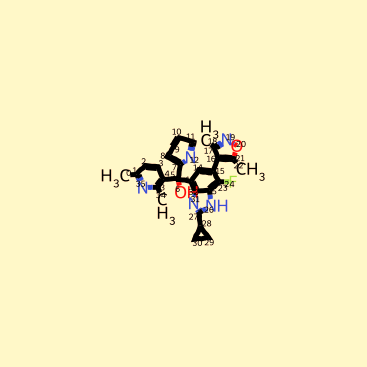 Cc1ccc(C(O)(c2ccccn2)c2cc(-c3c(C)noc3C)c(F)c3[nH]c(C4CC4)nc23)c(C)n1